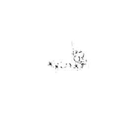 CN(CC1CCN(C(=O)OC(C)(C)C)CC1)C(=O)C1=CC2CNC3=CC=CC(=C1S(=O)(=O)O)N32